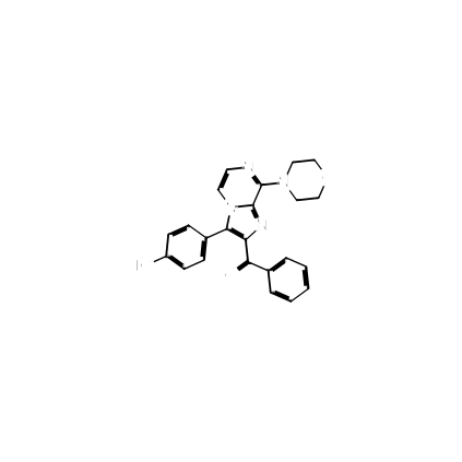 O=C(c1ccccc1)c1nc2c(N3CCOCC3)nccn2c1-c1ccc(O)cc1